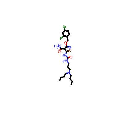 CCCCN(CCCC)CCCNC(=O)Nc1snc(OCc2ccc(Br)cc2F)c1C(N)=O